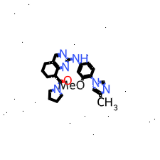 COc1cc(Nc2ncc3c(n2)C(C(=O)N2CCCC2)CCC3)ccc1-n1cnc(C)c1